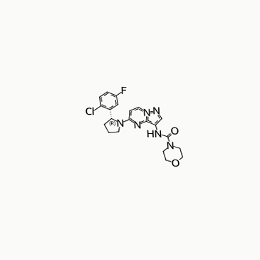 O=C(Nc1cnn2ccc(N3CCC[C@@H]3c3cc(F)ccc3Cl)nc12)N1CCOCC1